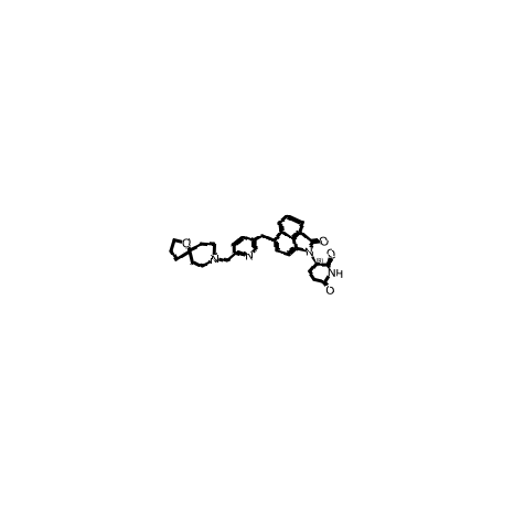 O=C1CC[C@@H](N2C(=O)c3cccc4c(Cc5ccc(CN6CCC7(CCCO7)CC6)nc5)ccc2c34)C(=O)N1